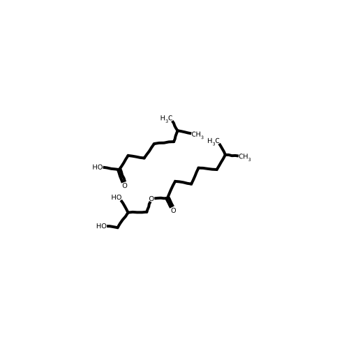 CC(C)CCCCC(=O)O.CC(C)CCCCC(=O)OCC(O)CO